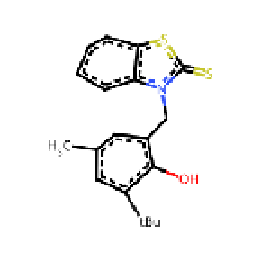 Cc1cc(Cn2c(=S)sc3ccccc32)c(O)c(C(C)(C)C)c1